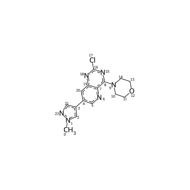 Cn1cc(-c2cnc3c(N4CCOCC4)nc(Cl)nc3c2)cn1